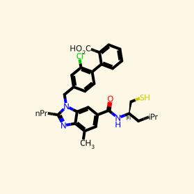 CCCc1nc2c(C)cc(C(=O)N[C@@H](CS)CC(C)C)cc2n1Cc1ccc(-c2ccccc2C(=O)O)c(Cl)c1